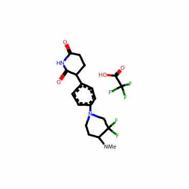 CNC1CCN(c2ccc(C3CCC(=O)NC3=O)cc2)CC1(F)F.O=C(O)C(F)(F)F